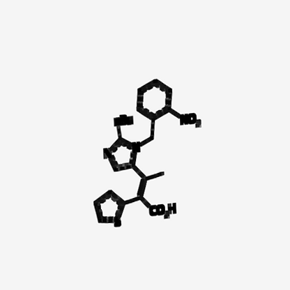 CCCCc1ncc(C(C)=C(C(=O)O)c2cccs2)n1Cc1ccccc1[N+](=O)[O-]